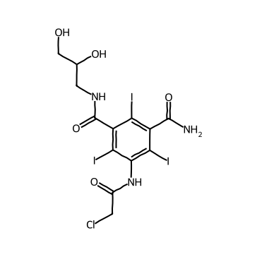 NC(=O)c1c(I)c(NC(=O)CCl)c(I)c(C(=O)NCC(O)CO)c1I